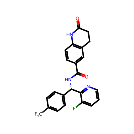 O=C1CCc2cc(C(=O)N[C@@H](c3ccc(C(F)(F)F)cc3)c3ncccc3F)ccc2N1